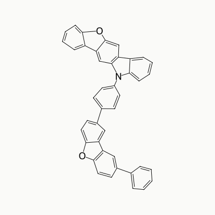 c1ccc(-c2ccc3oc4ccc(-c5ccc(-n6c7ccccc7c7cc8oc9ccccc9c8cc76)cc5)cc4c3c2)cc1